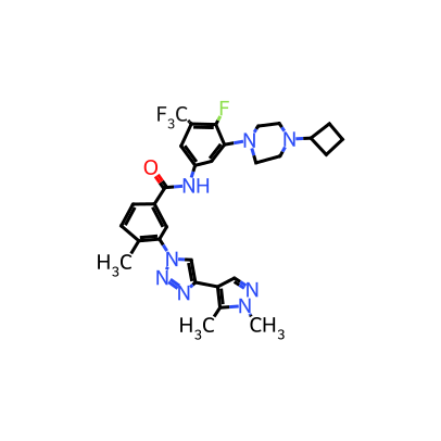 Cc1ccc(C(=O)Nc2cc(N3CCN(C4CCC4)CC3)c(F)c(C(F)(F)F)c2)cc1-n1cc(-c2cnn(C)c2C)nn1